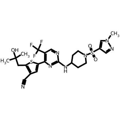 Cn1cc(S(=O)(=O)N2CCC(Nc3ncc(C(F)(F)F)c(-c4cc(C#N)c(CC(C)(C)O)s4)n3)CC2)cn1